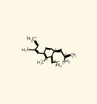 C=C/C(N)=C\c1ccc(=C/C(=C)N)/c(=C\C)c1C